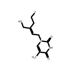 Cc1cn(C/C=C(/CO)CCF)c(=O)[nH]c1=O